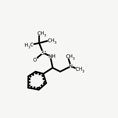 CN(C)CC(N[S+]([O-])C(C)(C)C)c1ccccc1